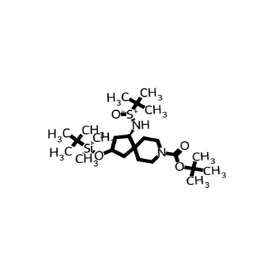 CC(C)(C)OC(=O)N1CCC2(CC1)CC(O[Si](C)(C)C(C)(C)C)C[C@H]2N[S+]([O-])C(C)(C)C